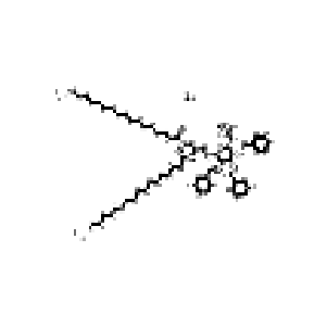 CCCCCCCCCCCCCCCCCC(=O)OCC(CO[C@H]1O[C@H](CS(=O)(=O)[O-])[C@@H](OCc2ccccc2)[C@H](OCc2ccccc2)[C@@H]1OCc1ccccc1)OC(=O)CCCCCCCCCCCCCCCCC.[Na+]